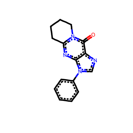 O=c1c2ncn(-c3ccccc3)c2nc2n1CCCC2